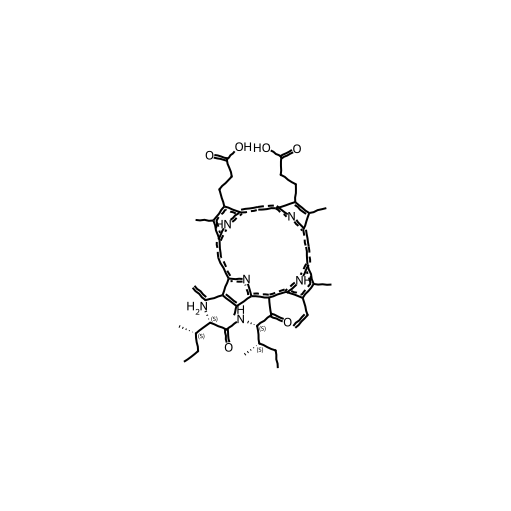 C=CC1=C(C)c2nc1cc1[nH]c(cc3nc(cc4[nH]c(c(C=C)c4C)c2C(=O)[C@@H](NC(=O)[C@@H](N)[C@@H](C)CC)[C@@H](C)CC)C(C)=C3CCC(=O)O)c(CCC(=O)O)c1C